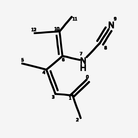 C=C(C)/C=C(/C)C(NC#N)=C(C)C